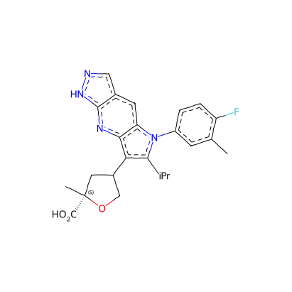 Cc1cc(-n2c(C(C)C)c(C3CO[C@](C)(C(=O)O)C3)c3nc4[nH]ncc4cc32)ccc1F